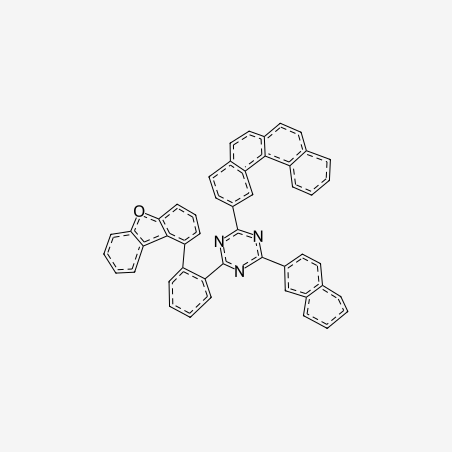 c1ccc(-c2cccc3oc4ccccc4c23)c(-c2nc(-c3ccc4ccccc4c3)nc(-c3ccc4ccc5ccc6ccccc6c5c4c3)n2)c1